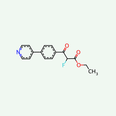 CCOC(=O)C(F)C(=O)c1ccc(-c2ccncc2)cc1